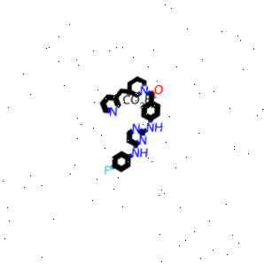 CCOC(=O)C1(Cc2cccnc2)CCCN(C(=O)c2ccc(Nc3nccc(Nc4ccc(F)cc4)n3)cc2)C1